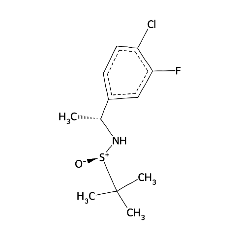 C[C@@H](N[S@+]([O-])C(C)(C)C)c1ccc(Cl)c(F)c1